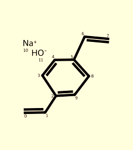 C=Cc1ccc(C=C)cc1.[Na+].[OH-]